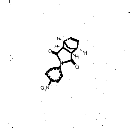 O=C1[C@@H]2[C@H](C(=O)N1c1ccc([N+](=O)[O-])cc1)[C@@H]1C=C[C@H]2CC1